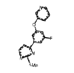 CSc1nccc(-c2cc(F)cc(Oc3cccnc3)c2)n1